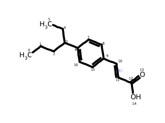 CCCC(CC)c1ccc(/C=C/C(=O)O)cc1